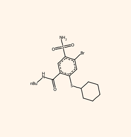 CCCCNC(=O)c1cc(S(N)(=O)=O)c(Br)cc1SC1CCCCC1